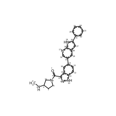 CNC1CCN(C(=O)c2n[nH]c3ccc(-c4cnc5[nH]c(-c6ccccc6)cc5c4)cc23)C1